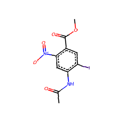 COC(=O)c1cc(I)c(NC(C)=O)cc1[N+](=O)[O-]